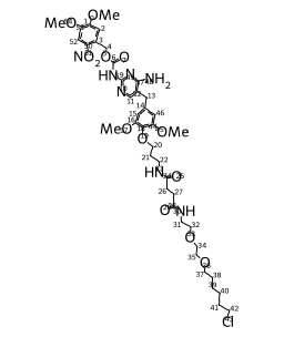 COc1cc(COC(=O)Nc2ncc(Cc3cc(OC)c(OCCCNC(=O)CCC(=O)NCCOCCOCCCCCCCl)c(OC)c3)c(N)n2)c([N+](=O)[O-])cc1OC